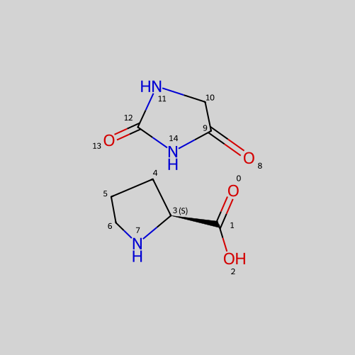 O=C(O)[C@@H]1CCCN1.O=C1CNC(=O)N1